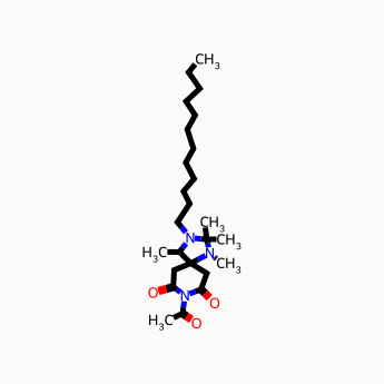 CCCCCCCCCCCCN1C(C)C2(CC(=O)N(C(C)=O)C(=O)C2)N(C)C1(C)C